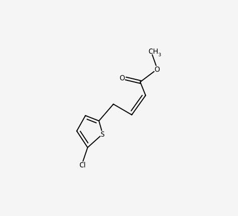 COC(=O)/C=C\Cc1ccc(Cl)s1